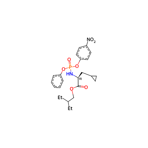 CCC(CC)COC(=O)[C@H](CC1CC1)NP(=O)(Oc1ccccc1)Oc1ccc([N+](=O)[O-])cc1